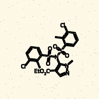 CCOC(=O)c1cnn(C)c1N(S(=O)(=O)c1cccc(Cl)c1C)S(=O)(=O)c1cccc(Cl)c1C